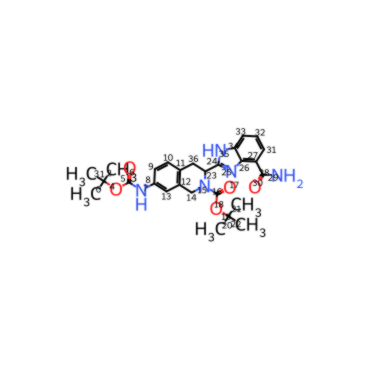 CC(C)(C)OC(=O)Nc1ccc2c(c1)CN(C(=O)OC(C)(C)C)C(c1nc3c(C(N)=O)cccc3[nH]1)C2